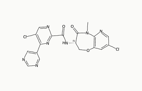 CN1C(=O)[C@@H](NC(=O)c2ncc(Cl)c(-c3cncnc3)n2)COc2cc(Cl)cnc21